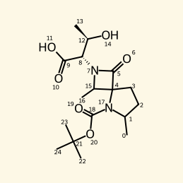 CC1CCC2(C(=O)N([C@H](C(=O)O)[C@@H](C)O)C2C)N1C(=O)OC(C)(C)C